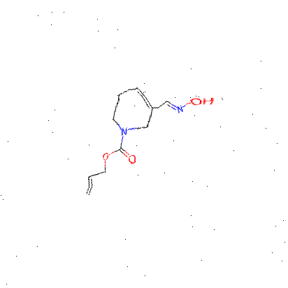 C=CCOC(=O)N1CCC=C(C=NO)C1